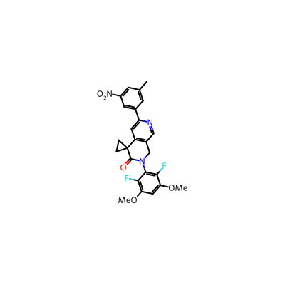 COc1cc(OC)c(F)c(N2Cc3cnc(-c4cc(C)cc([N+](=O)[O-])c4)cc3C3(CC3)C2=O)c1F